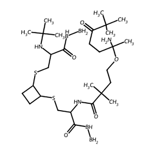 BBC(=O)C(CSC1CCC1SCC(NC(C)(C)C)C(=O)BB)NC(=O)C(C)(C)CCOC(C)(N)CCC(=O)C(C)(C)C